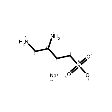 NCC(N)CCS(=O)(=O)[O-].[Na+]